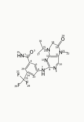 CNC(=O)c1cc(Nc2ncc3c(n2)N(C(C)C)CC(=O)N3C)cc(C(F)(F)F)c1